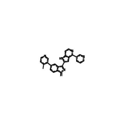 Cc1ccncc1-c1ccc2[nH]nc(-c3cc4c(-c5cccnc5)nccc4[nH]3)c2c1